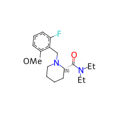 CCN(CC)C(=O)[C@@H]1CCCCN1Cc1c(F)cccc1OC